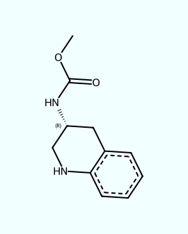 COC(=O)N[C@H]1CNc2ccccc2C1